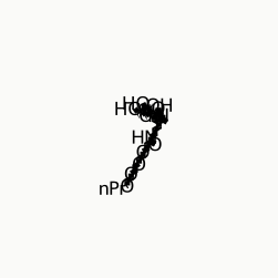 CCCOCCOCCOCCOCCC(=O)NCCCc1cn([C@@H]2O[C@H](CO)C(O)[C@@H]2O)c(=O)nc1C